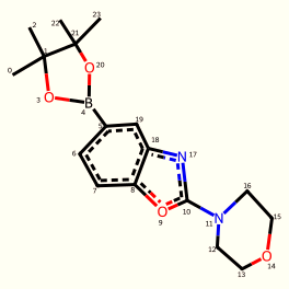 CC1(C)OB(c2ccc3oc(N4CCOCC4)nc3c2)OC1(C)C